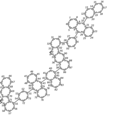 c1cc(-c2c3ccccc3c(-c3ccc4ccccc4c3)c3ccccc23)cc(-c2cccc3sc4cc5c(-c6ccc(-c7c8ccccc8c(-c8ccc(-c9cccc%10sc%11cc%12ccccc%12cc%11c9%10)cc8)c8ccccc78)c7ccccc67)cccc5cc4c23)c1